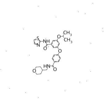 CC(C)Oc1cc(Oc2ccc(C(=O)NCC3CCOCC3)cc2)cc(C(=O)Nc2nccs2)c1